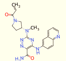 C=CC(=O)N1CC[C@@H](N(C)c2nnc(C(N)=O)c(Nc3ccc4ncccc4c3)n2)C1